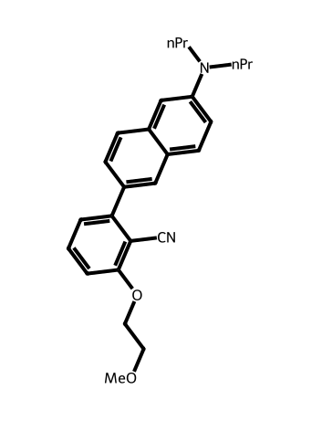 CCCN(CCC)c1ccc2cc(-c3cccc(OCCOC)c3C#N)ccc2c1